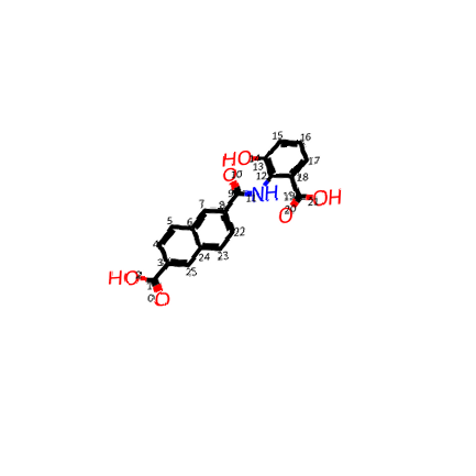 O=C(O)c1ccc2cc(C(=O)Nc3c(O)cccc3C(=O)O)ccc2c1